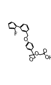 O=C(O)COC1(c2ccc(OCc3cccc(-c4ccccc4F)c3)cc2)COC1